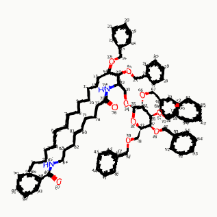 CCCCCCCCCCCCCCC(OCc1ccccc1)C(OCc1ccccc1)C(CO[C@H]1O[C@H](COCc2ccccc2)[C@H](OCc2ccccc2)[C@H](OCc2ccccc2)[C@H]1OCc1ccccc1)NC(=O)CCCCCCCCNC(=O)c1ccccc1